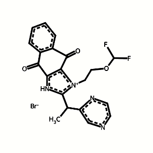 CC(c1cnccn1)c1[nH]c2c([n+]1CCOC(F)F)C(=O)c1ccccc1C2=O.[Br-]